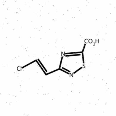 O=C(O)c1nc(/C=C/Cl)ns1